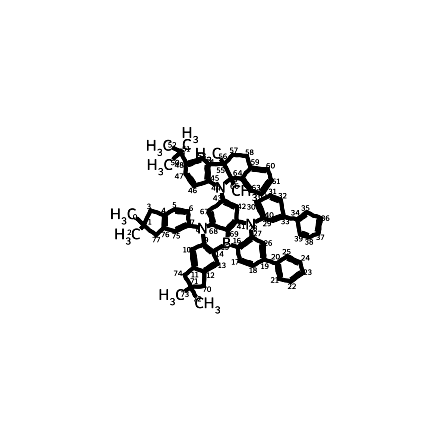 CC1(C)Cc2ccc(N3c4cc5c(cc4B4c6ccc(-c7ccccc7)cc6N(c6cccc(-c7ccccc7)c6)c6cc(N7c8ccc(C(C)(C)C)cc8C8(C)CCc9ccccc9C78C)cc3c64)CC(C)(C)C5)cc2C1